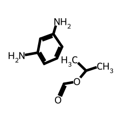 CC(C)OC=O.Nc1cccc(N)c1